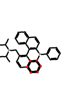 CC(C)P(Cc1ccc2ccccc2c1-c1c(P(c2ccccc2)c2ccccc2)ccc2ccccc12)C(C)C